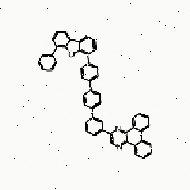 c1ccc(-c2cccc3c2oc2c(-c4ccc(-c5ccc(-c6cccc(-c7cnc8c9ccccc9c9ccccc9c8n7)c6)cc5)cc4)cccc23)cc1